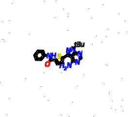 CC(C)(C)n1nc(-c2ccc(C(=O)Nc3ccccc3)s2)c2c(N)ncnc21